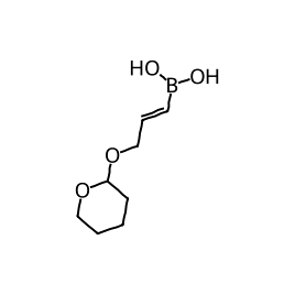 OB(O)C=CCOC1CCCCO1